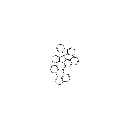 C1=CCC(C2(c3ccccc3)c3ccccc3-c3c(N(c4ccccc4)c4ccccc4-c4ccccc4)cc4ccccc4c32)C=C1